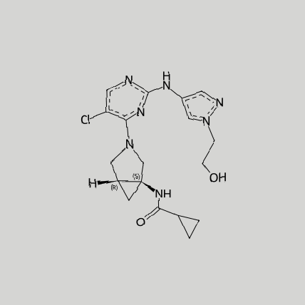 O=C(N[C@@]12C[C@@H]1CN(c1nc(Nc3cnn(CCO)c3)ncc1Cl)C2)C1CC1